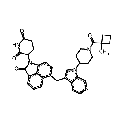 CC1(C(=O)N2CCC(n3cc(Cc4ccc5c6c(cccc46)C(=O)N5C4CCC(=O)NC4=O)c4ccncc43)CC2)CCC1